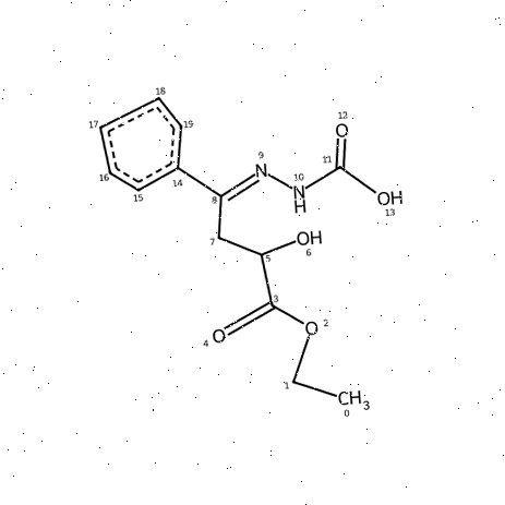 CCOC(=O)C(O)CC(=NNC(=O)O)c1ccccc1